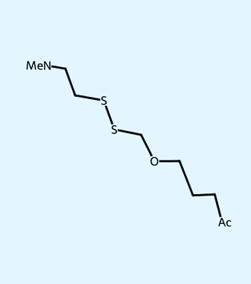 CNCCSSCOCCCC(C)=O